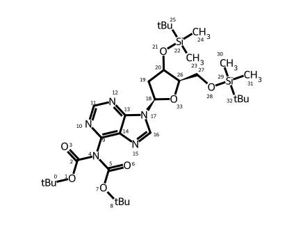 CC(C)(C)OC(=O)N(C(=O)OC(C)(C)C)c1ncnc2c1ncn2[C@H]1CC(O[Si](C)(C)C(C)(C)C)[C@@H](CO[Si](C)(C)C(C)(C)C)O1